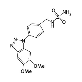 COc1cc2nnn(-c3ccc(CNS(N)(=O)=O)cc3)c2cc1OC